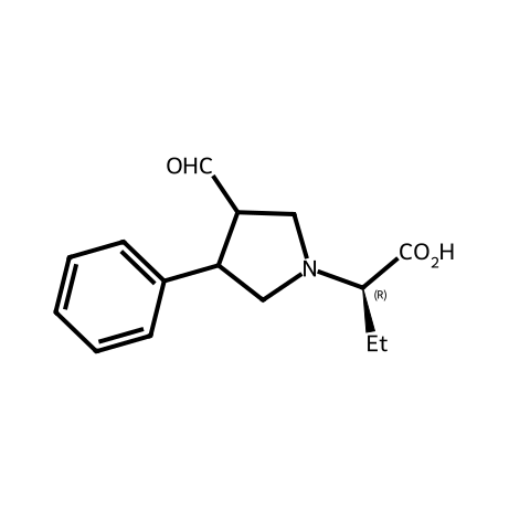 CC[C@H](C(=O)O)N1CC(C=O)C(c2ccccc2)C1